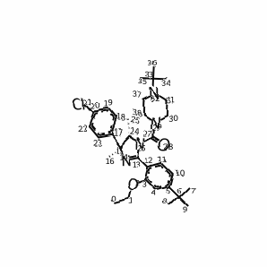 CCOc1cc(C(C)(C)C)ccc1C1=N[C@@](C)(c2ccc(Cl)cc2)[C@H](C)N1C(=O)N1CCN(C(C)(C)C)CC1